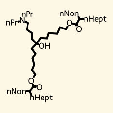 CCCCCCCCCC(CCCCCCC)C(=O)OCCCCCCC(O)(CCCCCCOC(=O)C(CCCCCCC)CCCCCCCCC)CCCCN(CCC)CCC